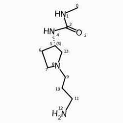 CNC(=O)N[C@H]1CCN(CCCN)C1